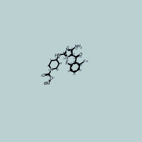 CC(C)(C)OC(=O)N1CCC(Nc2nc(N)c(C(=O)c3c(F)cccc3F)s2)CC1